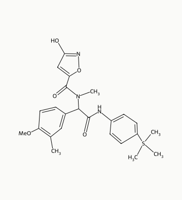 COc1ccc(C(C(=O)Nc2ccc(S(C)(C)C)cc2)N(C)C(=O)c2cc(O)no2)cc1C